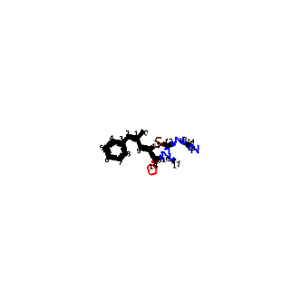 CC(=Cc1ccccc1)C=C1SC(=NC#N)N(C)C1=O